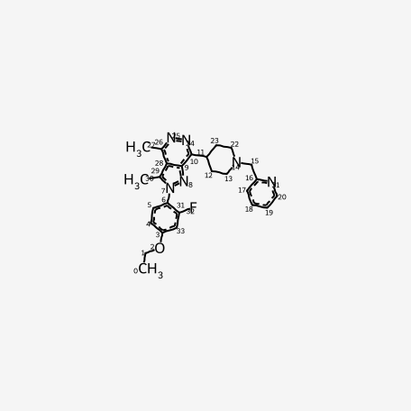 CCOc1ccc(-n2nc3c(C4CCN(Cc5ccccn5)CC4)nnc(C)c3c2C)c(F)c1